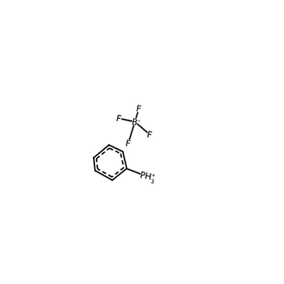 F[B-](F)(F)F.[PH3+]c1ccccc1